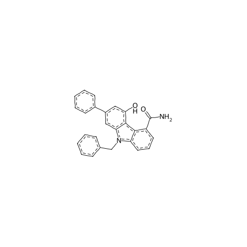 NC(=O)c1cccc2c1c1c(O)cc(-c3ccccc3)cc1n2Cc1ccccc1